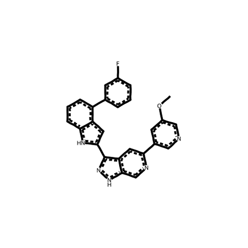 COc1cncc(-c2cc3c(-c4cc5c(-c6cccc(F)c6)cccc5[nH]4)n[nH]c3cn2)c1